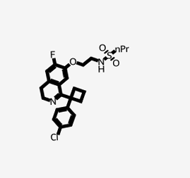 CCCS(=O)(=O)NCCOc1cc2c(cc1F)CCN=C2C1(c2ccc(Cl)cc2)CCC1